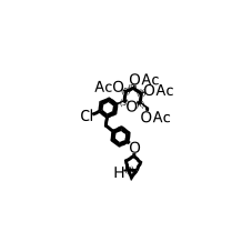 CC(=O)OC[C@H]1O[C@@H](c2ccc(Cl)c(Cc3ccc(OC4CC5C[C@@H]5C4)cc3)c2)[C@H](OC(C)=O)[C@@H](OC(C)=O)[C@@H]1OC(C)=O